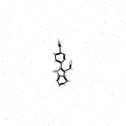 N#Cc1ccc(-c2[nH]c3ccccc3c2C=O)cc1